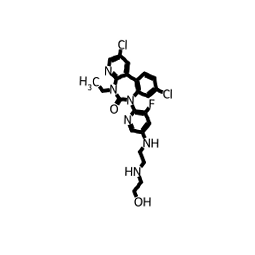 CCN1C(=O)N(c2ncc(NCCNCCO)cc2F)c2cc(Cl)ccc2-c2cc(Cl)cnc21